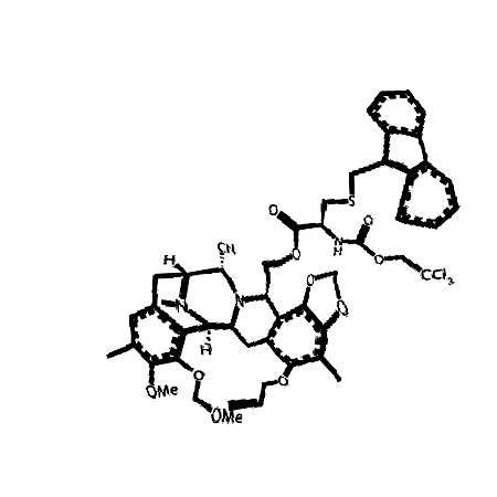 C=CCOc1c(C)c2c(c3c1CC1[C@H]4c5c(cc(C)c(OC)c5OCOC)C[C@H]([C@H](C#N)N1[C@H]3COC(=O)[C@@H](CSCC1c3ccccc3-c3ccccc31)NC(=O)OCC(Cl)(Cl)Cl)N4C)OCO2